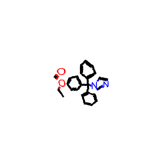 CCOC=O.c1ccc(C(c2ccccc2)(c2ccccc2)n2ccnc2)cc1